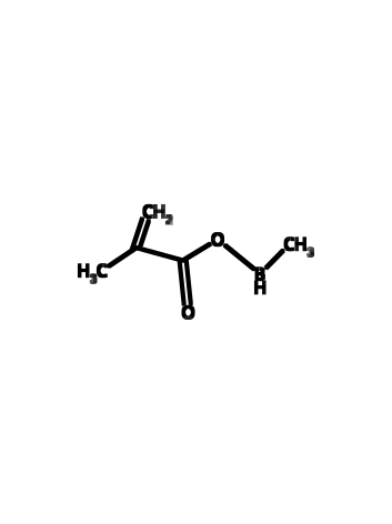 C=C(C)C(=O)OBC